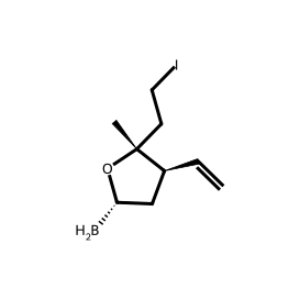 B[C@H]1C[C@H](C=C)[C@@](C)(CCI)O1